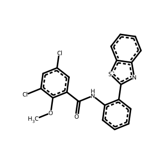 COc1c(Cl)cc(Cl)cc1C(=O)Nc1ccccc1-c1nc2ccccc2s1